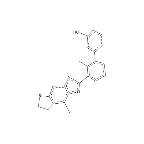 Cc1c(-c2cccc(O)c2)cccc1-c1nc2cc3c(c(F)c2o1)CCS3